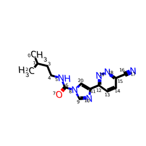 CC(C)CCNC(=O)n1cnc(-c2ccc(C#N)nn2)c1